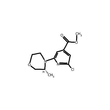 COC(=O)c1cc(Cl)nc(N2CCOC[C@H]2C)c1